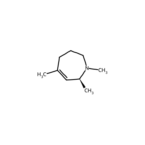 CC1=C[C@H](C)N(C)CCC1